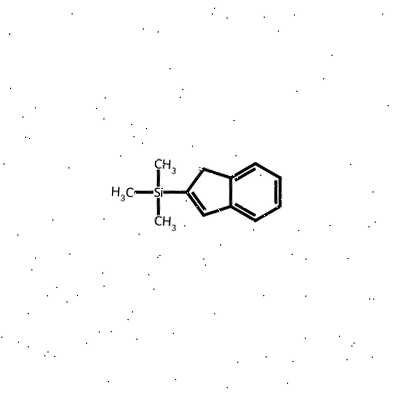 C[Si](C)(C)C1=Cc2ccccc2[C]1